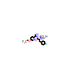 CC(NC(=O)C(Cc1ccc(F)cc1)NC(=O)O)c1ccc(OCC(F)(F)F)cn1